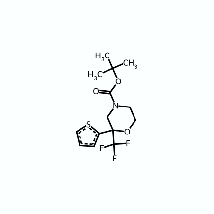 CC(C)(C)OC(=O)N1CCOC(c2cccs2)(C(F)(F)F)C1